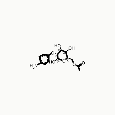 CC(=O)OC[C@H]1O[C@@H](O)[C@H](Oc2ccc(N)cc2)[C@@H](O)[C@H]1O